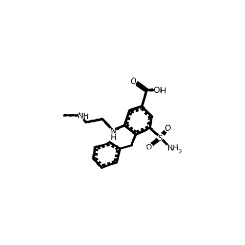 CNCCNc1cc(C(=O)O)cc(S(N)(=O)=O)c1Cc1ccccc1